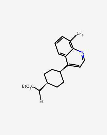 CCOC(=O)C(CC)[C@H]1CC[C@@H](c2ccnc3c(C(F)(F)F)cccc32)CC1